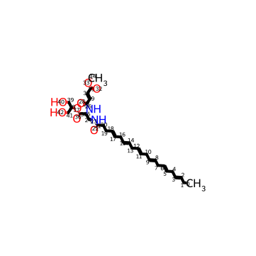 CCC=CCC=CCC=CCC=CCC=CCC=CCCC(=O)NCC(NC(=O)C=CC(=O)OC)C(=O)OC(CO)CO